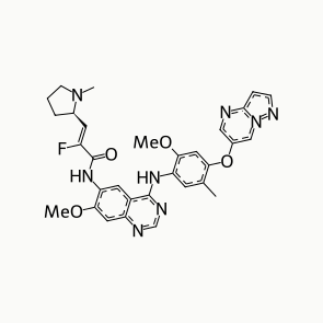 COc1cc2ncnc(Nc3cc(C)c(Oc4cnc5ccnn5c4)cc3OC)c2cc1NC(=O)/C(F)=C/[C@H]1CCCN1C